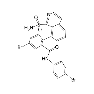 NS(=O)(=O)c1nccc2cccc(-c3ccc(Br)cc3C(=O)Nc3ccc(Br)cc3)c12